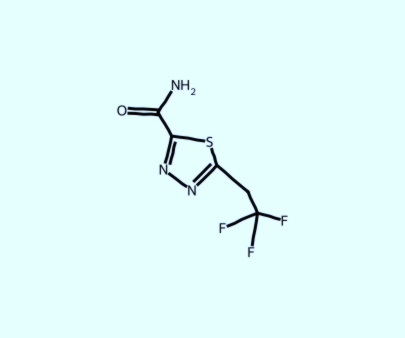 NC(=O)c1nnc(CC(F)(F)F)s1